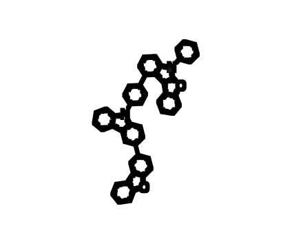 c1ccc(-n2c3cccc(-c4ccc(-n5c6ccccc6c6cc(-c7ccc8oc9ccccc9c8c7)ccc65)cc4)c3c3c4ccccc4oc32)cc1